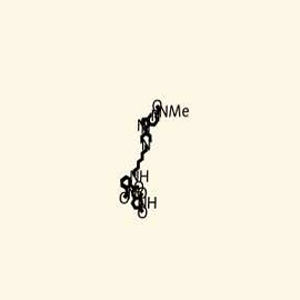 CNC(=O)N1CCc2c(cnn2C2CCN(CCCCCCNc3cccc4c3C(=O)N(C3CCC(=O)NC3=O)C4=O)CC2)C1